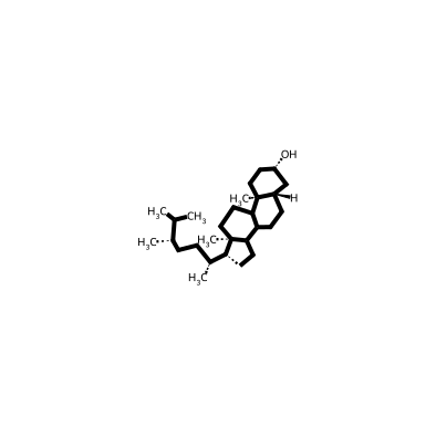 CC(C)[C@@H](C)CC[C@@H](C)[C@H]1CCC2C3CC[C@H]4C[C@@H](O)CC[C@]4(C)C3CC[C@@]21C